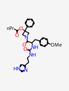 CCCC(=O)OC1(c2ccccc2)CN(C(=O)C(Cc2ccc(OC)cc2)NC(=O)NCCc2c[nH]cn2)C1